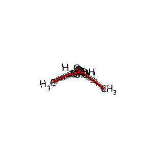 CCCCCCCCCCCCCCCCCCOCC(O)COP(OCC)OCC(O)COCCCCCCCCCCCCCCCCCC